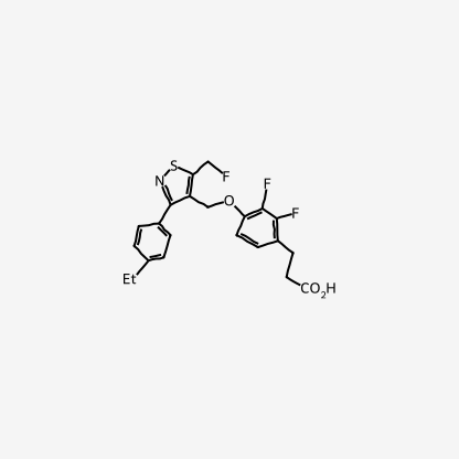 CCc1ccc(-c2nsc(CF)c2COc2ccc(CCC(=O)O)c(F)c2F)cc1